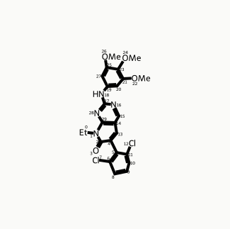 CCn1c(=O)c(-c2c(Cl)cccc2Cl)cc2cnc(Nc3cc(OC)c(OC)c(OC)c3)nc21